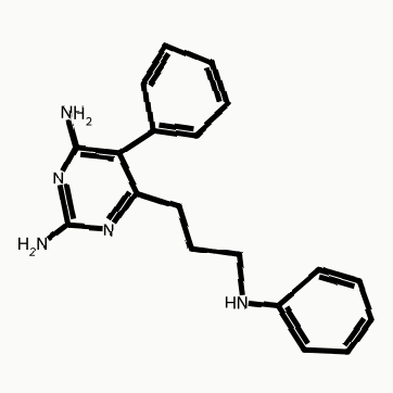 Nc1nc(N)c(-c2ccccc2)c(CCCNc2ccccc2)n1